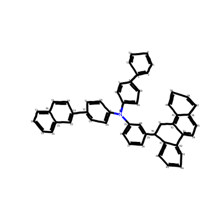 c1ccc(-c2ccc(N(c3ccc(-c4ccc5ccccc5c4)cc3)c3cccc(C4Cc5c(ccc6ccccc56)-c5ccccc54)c3)cc2)cc1